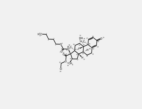 CCCCCOC(=O)O[C@]1(C(=O)OCCl)[C@H](C)C[C@H]2[C@@H]3CCC4=CC(=O)C=C[C@]4(C)[C@@]3(F)[C@@H](O)C[C@@]21C